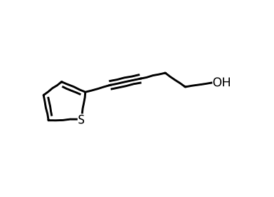 OCCC#Cc1cccs1